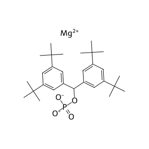 CC(C)(C)c1cc(C(OP(=O)([O-])[O-])c2cc(C(C)(C)C)cc(C(C)(C)C)c2)cc(C(C)(C)C)c1.[Mg+2]